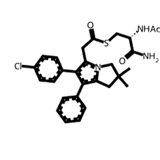 CC(=O)N[C@@H](CSC(=O)Cc1c(-c2ccc(Cl)cc2)c(-c2ccccc2)c2n1CC(C)(C)C2)C(N)=O